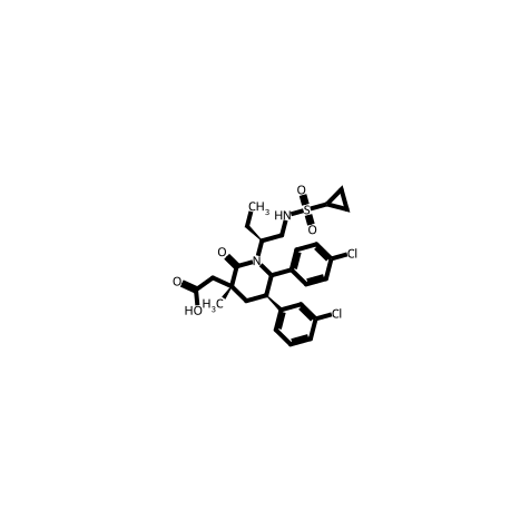 CC[C@@H](CNS(=O)(=O)C1CC1)N1C(=O)[C@@](C)(CC(=O)O)C[C@H](c2cccc(Cl)c2)C1c1ccc(Cl)cc1